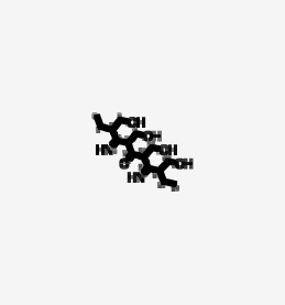 CCC(CO)C(=N)C(CO)C(=O)C(CO)C(=N)C(CC)CO